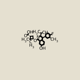 Cc1cc(-c2c(C(C)C)nc(O[C@H]3C[C@@H](C(=O)O)C3(C)C)c3cc(O)ccc23)ccc1F